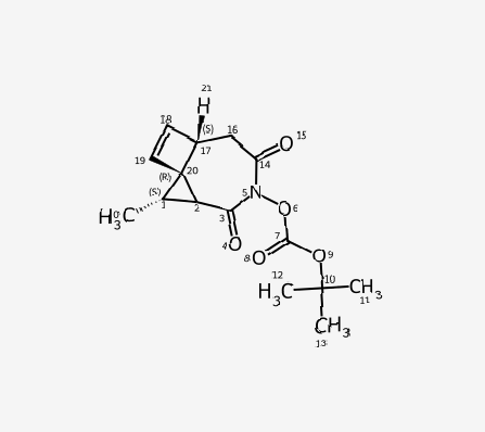 C[C@H]1C2C(=O)N(OC(=O)OC(C)(C)C)C(=O)C[C@H]3C=C[C@]231